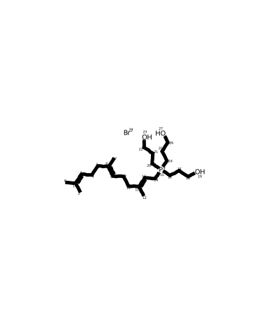 CC(C)=CCCC(C)=CCCC(C)=CC[P+](CCCO)(CCCO)CCCO.[Br-]